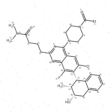 CCC(=O)N1CCN(c2nc(CCCC(=O)N(C)C)nc3c(F)c([C@@H]4c5ccccc5C[C@H](O)[C@@H]4C)c(Cl)cc23)CC1